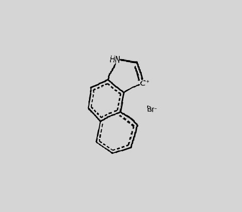 [Br-].[C+]1=CNc2ccc3ccccc3c21